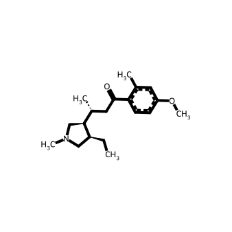 CC[C@H]1CN(C)C[C@H]1[C@H](C)CC(=O)c1ccc(OC)cc1C